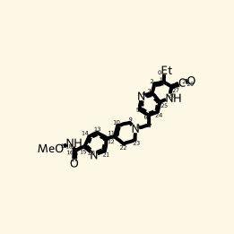 CCC1=Cc2ncc(CN3CC=C(c4ccc(C(=O)NOC)nc4)CC3)cc2NC1=C=O